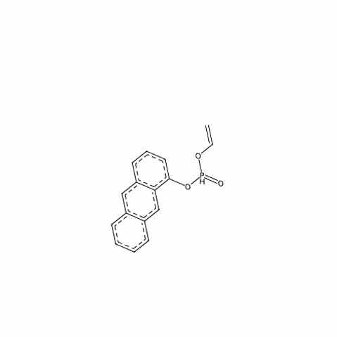 C=CO[PH](=O)Oc1cccc2cc3ccccc3cc12